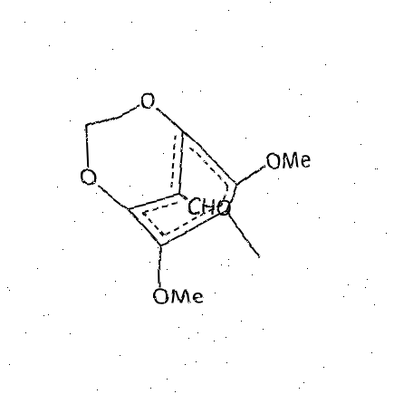 COc1c(C)c(OC)c2c(C=O)c1OCO2